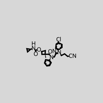 C[C@]1(C(=O)N(Cc2nc3cc(Cl)ccc3n2CCCC#N)c2ccccc2)C[C@H](OC(=O)NC2CC2)C1